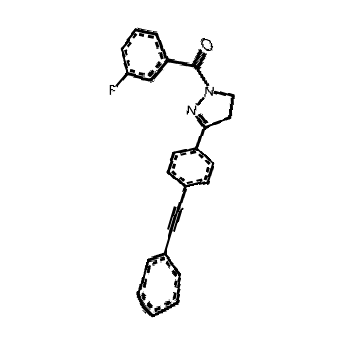 O=C(c1cccc(F)c1)N1CCC(c2ccc(C#Cc3ccccc3)cc2)=N1